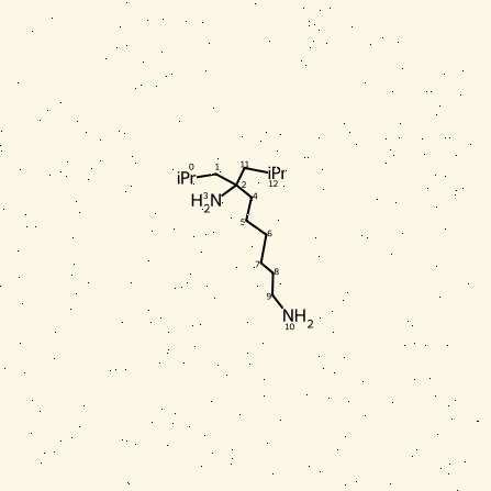 CC(C)CC(N)(CCCCCCN)CC(C)C